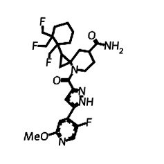 COc1cc(-c2cc(C(=O)N3CCC(C(N)=O)CC34CC4C3(CF)CCCCC3(CF)CF)n[nH]2)c(F)cn1